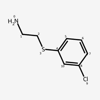 NCCSc1cc[c]c(Cl)c1